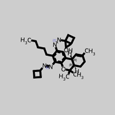 CCCCCc1c(/N=N\C23CCC2C3)c(O)c2c(c1/N=N/C1CCC1)OC(C)(C)[C@@H]1CCC(C)=C[C@@H]21